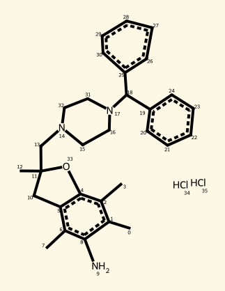 Cc1c(C)c2c(c(C)c1N)CC(C)(CN1CCN(C(c3ccccc3)c3ccccc3)CC1)O2.Cl.Cl